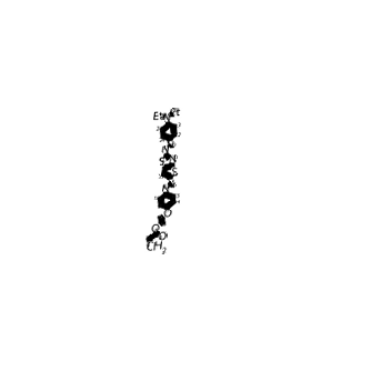 C=CC(=O)OCCOc1ccc(N=Nc2cc3sc(N=Nc4ccc(N(CC)CC)cc4)nc3s2)cc1